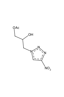 CC(=O)OCC(O)Cn1cc([N+](=O)[O-])nn1